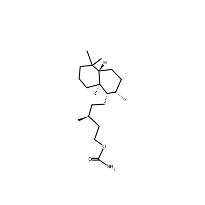 C[C@H](CCOC(N)=O)CC[C@H]1[C@@H](C)CC[C@H]2C(C)(C)CCC[C@]12C